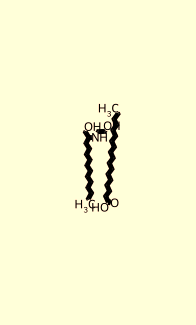 CCCCCCCCCCCCC(CO)NCCO.CCCCCCCCCCCCCCCCCC(=O)O